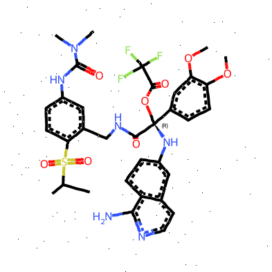 COc1ccc([C@@](Nc2ccc3c(N)nccc3c2)(OC(=O)C(F)(F)F)C(=O)NCc2cc(NC(=O)N(C)C)ccc2S(=O)(=O)C(C)C)cc1OC